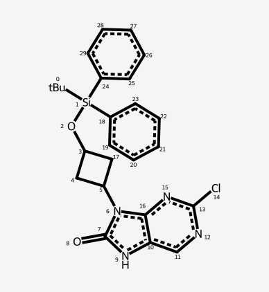 CC(C)(C)[Si](OC1CC(n2c(=O)[nH]c3cnc(Cl)nc32)C1)(c1ccccc1)c1ccccc1